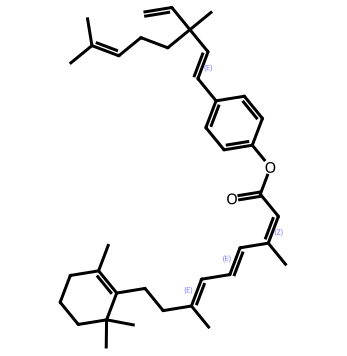 C=CC(C)(/C=C/c1ccc(OC(=O)\C=C(C)/C=C/C=C(\C)CCC2=C(C)CCCC2(C)C)cc1)CCC=C(C)C